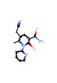 Cc1c(CC#N)cc(C(N)=O)c(=O)n1-c1ccccn1